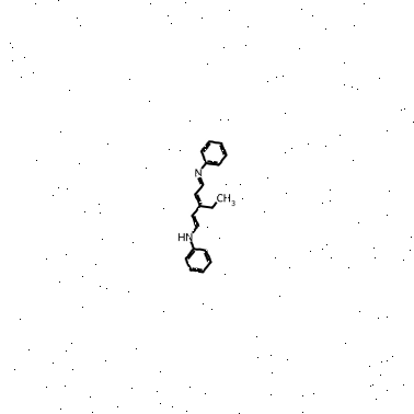 CCC(/C=C/Nc1ccccc1)=C\C=N\c1ccccc1